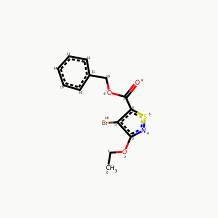 CCOc1nsc(C(=O)OCc2ccccc2)c1Br